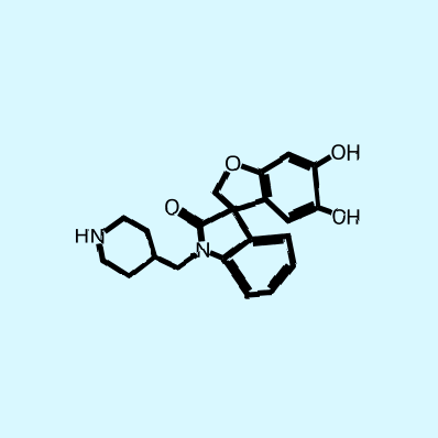 O=C1N(CC2CCNCC2)c2ccccc2C12COc1cc(O)c(O)cc12